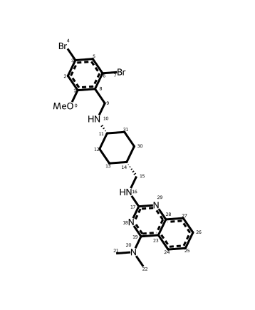 COc1cc(Br)cc(Br)c1CN[C@H]1CC[C@@H](CNc2nc(N(C)C)c3ccccc3n2)CC1